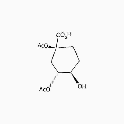 CC(=O)O[C@@H]1C[C@](OC(C)=O)(C(=O)O)CC[C@H]1O